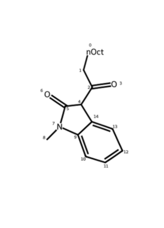 CCCCCCCCCC(=O)C1C(=O)N(C)c2ccccc21